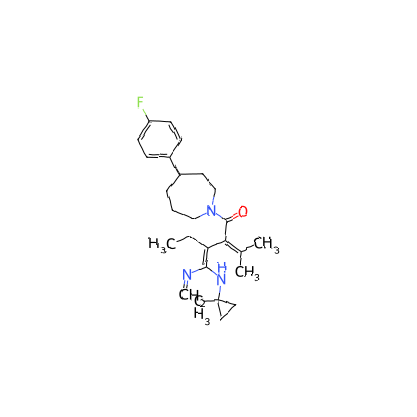 C=N/C(NC1(C)CC1)=C(\CC)C(C(=O)N1CCCC(c2ccc(F)cc2)CC1)=C(C)C